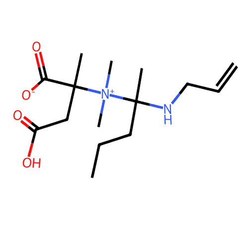 C=CCNC(C)(CCC)[N+](C)(C)C(C)(CC(=O)O)C(=O)[O-]